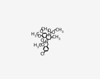 CCOC(=O)N1c2cc(OC)c(OC)cc2[C@@H](N(Cc2ccc(Cl)cc2)C(=O)OC)C[C@H]1C